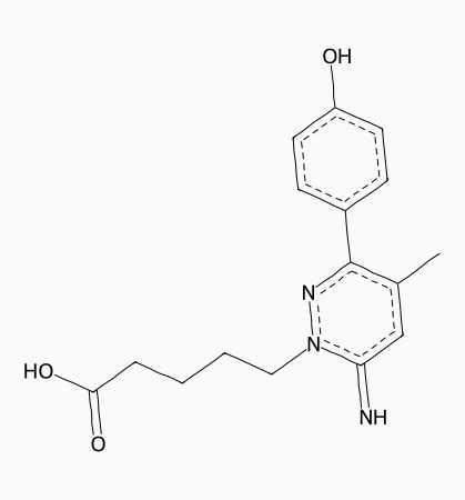 Cc1cc(=N)n(CCCCC(=O)O)nc1-c1ccc(O)cc1